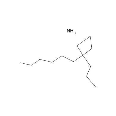 CCCCCCC1(CCC)CCC1.N